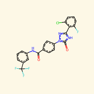 O=C(Nc1cccc(C(F)(F)F)c1)c1ccc(-n2nc(-c3c(F)cccc3Cl)[nH]c2=O)cc1